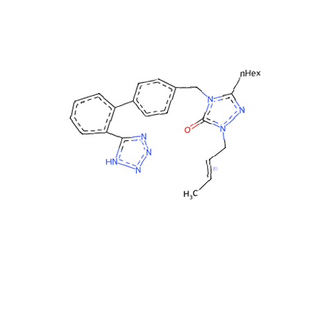 C/C=C/Cn1nc(CCCCCC)n(Cc2ccc(-c3ccccc3-c3nnn[nH]3)cc2)c1=O